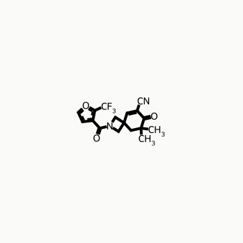 CC1(C)CC2(C=C(C#N)C1=O)CN(C(=O)c1ccoc1C(F)(F)F)C2